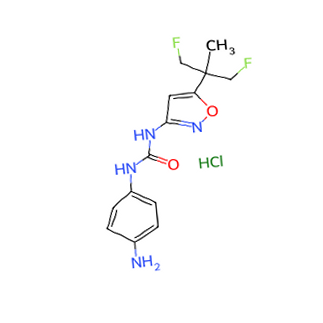 CC(CF)(CF)c1cc(NC(=O)Nc2ccc(N)cc2)no1.Cl